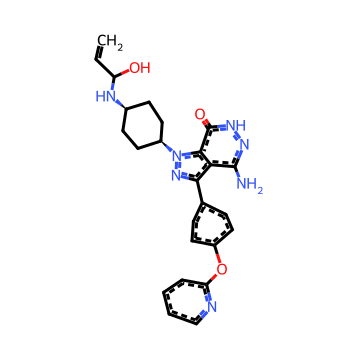 C=CC(O)N[C@H]1CC[C@@H](n2nc(-c3ccc(Oc4ccccn4)cc3)c3c(N)n[nH]c(=O)c32)CC1